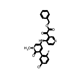 Cn1cc(Nc2ccncc2C(=O)C(=O)OCc2ccccc2)cc(-c2cc(Cl)ccc2F)c1=O